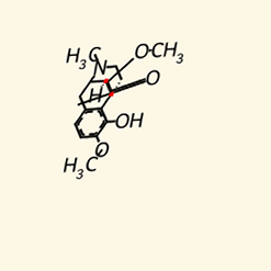 COc1ccc2c(c1O)[C@@]13CCN(C)C(C2)[C@H]1CC(OC)C(=O)C3